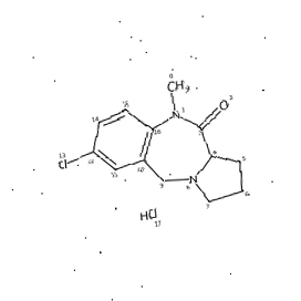 CN1C(=O)C2CCCN2Cc2cc(Cl)ccc21.Cl